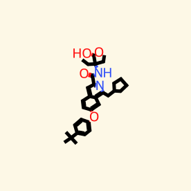 CCC(CC)(NC(=O)c1cc2ccc(Oc3ccc(C(C)(C)C)cc3)cc2c(CC2CCCC2)n1)C(=O)O